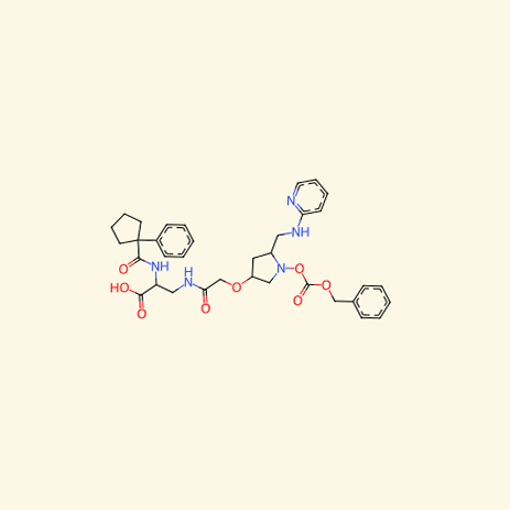 O=C(COC1CC(CNc2ccccn2)N(OC(=O)OCc2ccccc2)C1)NCC(NC(=O)C1(c2ccccc2)CCCC1)C(=O)O